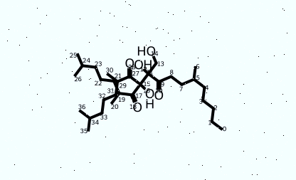 CCCCCC(C)CCC(=O)C(O)(CO)C(O)(C(=O)C(C)CCCC(C)C)C(=O)C(C)CCCC(C)C